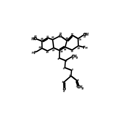 C=CC(C=O)CCC(C)CC1=C2CC(F)C(O)C=C2OC2C=C(O)C(F)CC12